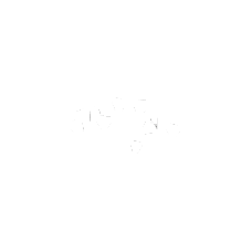 c1ccc(-c2cc(-c3ccccc3)nc(-c3cccc(-c4cccc(-c5cccc6c5sc5ccc7ccccc7c56)c4)c3)c2)cc1